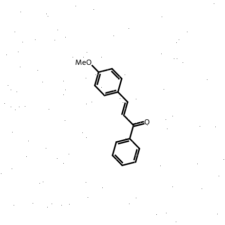 COc1ccc(/C=C/C(=O)c2ccccc2)cc1